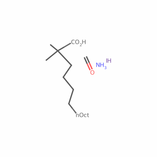 C=O.CCCCCCCCCCCCC(C)(C)C(=O)O.I.N